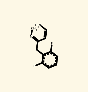 C/N=C(\C=C/N)Cc1c(F)cccc1F